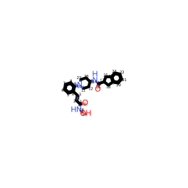 O=C(/C=C/c1ccccc1N1CCC(NC(=O)C2Cc3ccccc3C2)CC1)NO